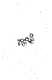 COc1cc2c(ccc3c4ccc(OC)c(OC(C)C)c4c(=O)n(C)c23)c(-c2ccccc2)c1OC